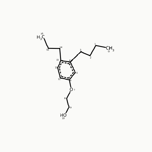 CCCCc1cc(OCCO)ccc1CCC